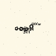 CO[C@H]1CC[C@H](Nc2cnn(-c3ccc(C4CCCC4)cc3)c(=O)c2Cl)CC1